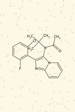 CC(=O)N(c1c(-c2c(F)cccc2Cl)nc2ccccn12)C(C)(C)C